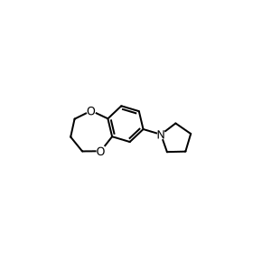 c1cc2c(cc1N1CCCC1)OCCCO2